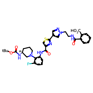 CC(C)(C)OC(=O)N[C@@H]1CCCN(c2c(F)cccc2NC(=O)c2csc(-c3cnn(CCNC(=O)c4ccccc4C(=O)O)c3)n2)C1